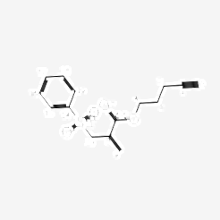 C#CCCCOC(=O)C(=C)CS(=O)(=O)c1ccccc1